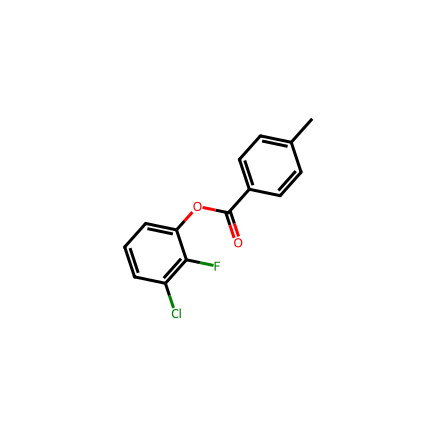 Cc1ccc(C(=O)Oc2cccc(Cl)c2F)cc1